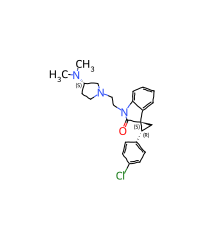 CN(C)[C@H]1CCN(CCN2C(=O)[C@]3(C[C@@H]3c3ccc(Cl)cc3)c3ccccc32)C1